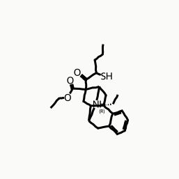 CCCC(S)C(=O)C1(C(=O)OCC)CC2C3Cc4ccccc4[C@]2(CC)CC1N3